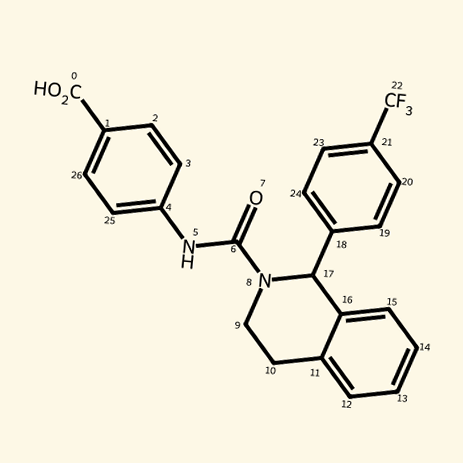 O=C(O)c1ccc(NC(=O)N2CCc3ccccc3C2c2ccc(C(F)(F)F)cc2)cc1